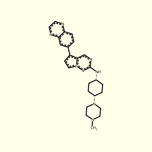 CN1CCN([C@H]2CC[C@@H](Nc3ncc4c(-c5ccc6nccnc6c5)ccn4n3)CC2)CC1